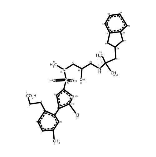 Cc1ccc(CCC(=O)O)c(-c2cc(S(=O)(=O)N(C)CC(O)CNC(C)(C)CC3Cc4ccccc4C3)sc2Cl)c1